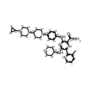 Cc1cccnc1-c1nc(C(N)=O)c(Nc2ccc(N3CCC(N4CCN(C5CC5)CC4)CC3)cc2)nc1NC1CCOCC1